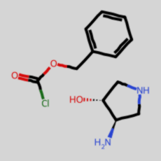 N[C@@H]1CNC[C@H]1O.O=C(Cl)OCc1ccccc1